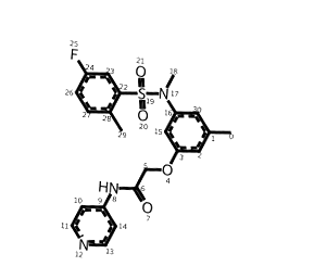 Cc1cc(OCC(=O)Nc2ccncc2)cc(N(C)S(=O)(=O)c2cc(F)ccc2C)c1